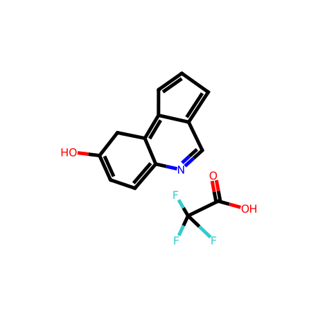 O=C(O)C(F)(F)F.OC1=CC=c2ncc3c(c2C1)C=CC=3